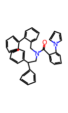 O=C(c1ccccc1-n1cccc1)N(Cc1ccccc1-c1ccccc1)CC(c1ccccc1)c1ccccc1